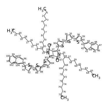 CCCCCCCCCCCCC(CCCCCCCCCC)CN1C(=O)C2=C(c3ccc(-c4ccc(-c5ccc(-c6ccc7ccccc7c6)s5)s4)s3)N(CC(CCCCCCCCCC)CCCCCCCCCCCC)C(=O)C2=C1c1ccc(-c2ccc(-c3ccc(-c4ccc5ccccc5c4)s3)s2)s1